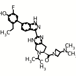 CCc1cc(O)c(F)cc1-c1ccc2c(-c3nc4c([nH]3)CN(C(C)C)[C@H](C(=O)N3CC(N(C)C)C3)C4)n[nH]c2c1